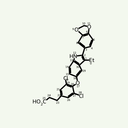 CCc1c(-c2ccc3c(c2)OCO3)[nH]c2ccc(Oc3c(Cl)cc(CCC(=O)O)cc3Cl)cc12